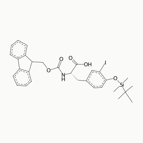 CC(C)(C)[Si](C)(C)Oc1ccc(C[C@H](NC(=O)OCC2c3ccccc3-c3ccccc32)C(=O)O)cc1I